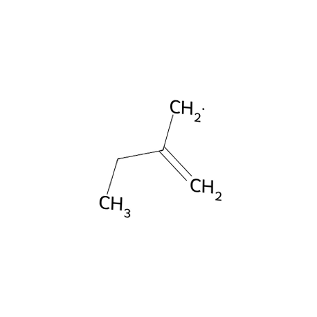 [CH2]C(=C)CC